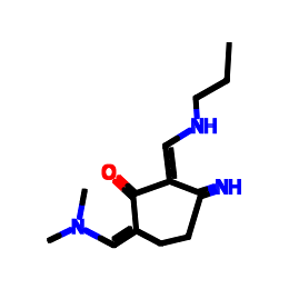 CCCN/C=C1\C(=N)CC/C(=C/N(C)C)C1=O